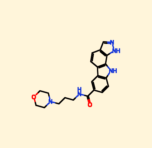 O=C(NCCCN1CCOCC1)c1ccc2[nH]c3c(ccc4cn[nH]c43)c2c1